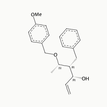 C=C[C@@H](O)[C@@H](Cc1ccccc1)[C@H](C)OCc1ccc(OC)cc1